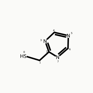 SCc1ncncn1